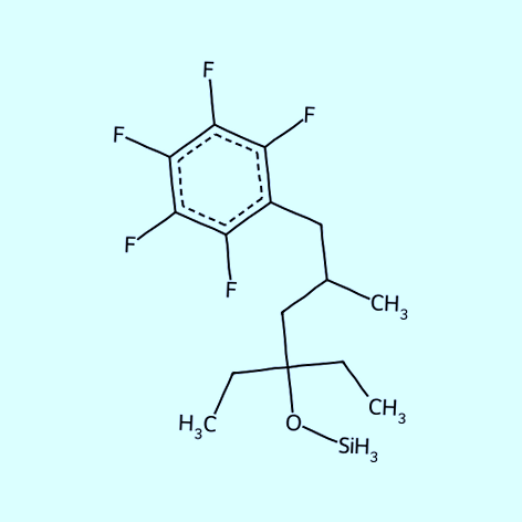 CCC(CC)(CC(C)Cc1c(F)c(F)c(F)c(F)c1F)O[SiH3]